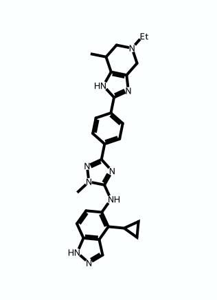 CCN1Cc2nc(-c3ccc(-c4nc(Nc5ccc6[nH]ncc6c5C5CC5)n(C)n4)cc3)[nH]c2C(C)C1